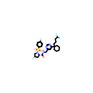 O=C(NCc1cc(C2(CCCC(F)F)CCCCC2)ncn1)[C@@H]1C[C@@H](F)CN1S(=O)(=O)c1ccc(F)cc1